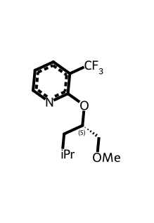 COC[C@H](CC(C)C)Oc1ncccc1C(F)(F)F